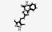 Cc1n[nH]c(C)c1CCc1nc2c3ccccc3[nH]c(=S)n2n1